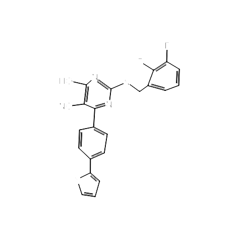 N#Cc1c(O)nc(SCc2cccc(F)c2F)nc1-c1ccc(-c2cccs2)cc1